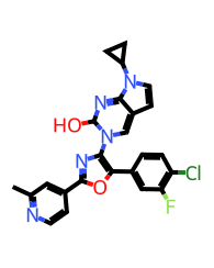 Cc1cc(-c2nc(N3C=c4ccn(C5CC5)c4=NC3O)c(-c3ccc(Cl)c(F)c3)o2)ccn1